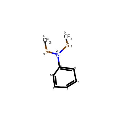 FC(F)(F)SN(SC(F)(F)F)c1ccccc1